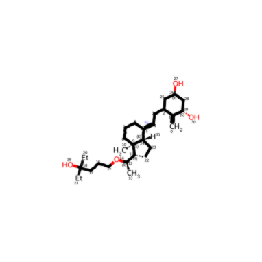 C=C1C(C/C=C2\CCC[C@]3(C)[C@@H]([C@@H](C)OCCCC(O)(CC)CC)CC[C@@H]23)C[C@@H](O)C[C@@H]1O